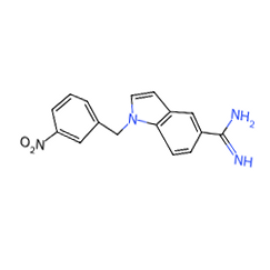 N=C(N)c1ccc2c(ccn2Cc2cccc([N+](=O)[O-])c2)c1